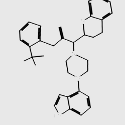 O=C(Cc1ccccc1C(F)(F)F)C(C1CCc2ccccc2N1)N1CCN(c2cccc3[nH]ccc23)CC1